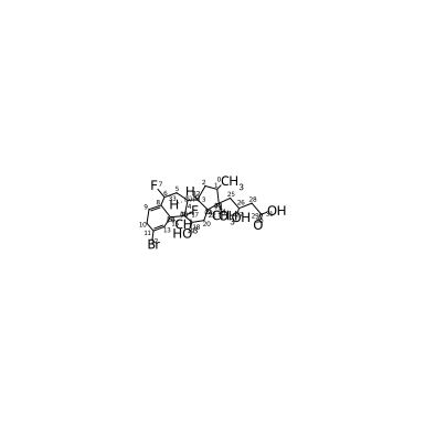 CC1C[C@H]2[C@@H]3CC(F)C4=CCC(Br)=C[C@]4(C)[C@@]3(F)C(O)C[C@]2(C)[C@@]1(O)CC(O)CC(=O)O